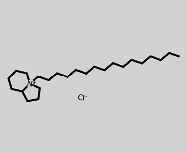 CCCCCCCCCCCCCCCC[N+]12CCCCC1CCC2.[Cl-]